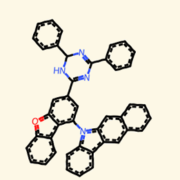 c1ccc(C2=NC(c3ccccc3)NC(c3cc(-n4c5ccccc5c5cc6ccccc6cc54)c4c(c3)oc3ccccc34)=N2)cc1